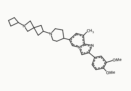 COc1ccc(-c2cn3cc(C4CCN(C5CC6(C5)CN(C5CCC5)C6)CC4)cc(C)c3n2)cc1OC